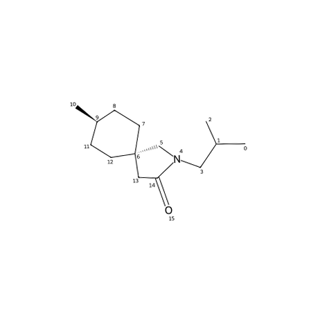 CC(C)CN1C[C@]2(CC[C@H](C)CC2)CC1=O